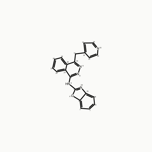 c1ccc2oc(Nc3nnc(Cc4ccncc4)c4ccccc34)nc2c1